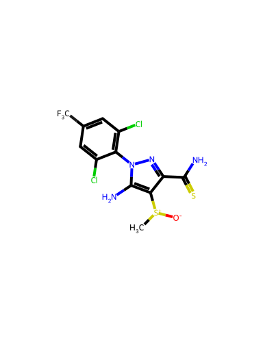 C[S+]([O-])c1c(C(N)=S)nn(-c2c(Cl)cc(C(F)(F)F)cc2Cl)c1N